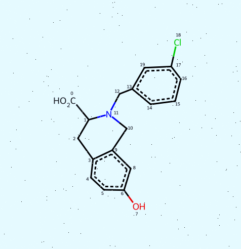 O=C(O)C1Cc2ccc(O)cc2CN1Cc1cccc(Cl)c1